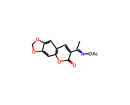 CC(=O)O/N=C(\C)c1cc2cc3c(cc2oc1=O)OCO3